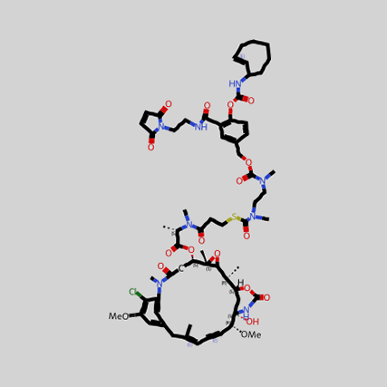 COc1cc2cc(c1Cl)N(C)C(=O)C[C@H](OC(=O)[C@H](C)N(C)C(=O)CCSC(=O)N(C)CCN(C)C(=O)OCc1ccc(OC(=O)NC3/C=C/CCCCC3)c(C(=O)NCCN3C(=O)C=CC3=O)c1)[C@]1(C)OC1[C@H](C)[C@@H]1C[C@@](O)(NC(=O)O1)[C@H](OC)/C=C/C=C(\C)C2